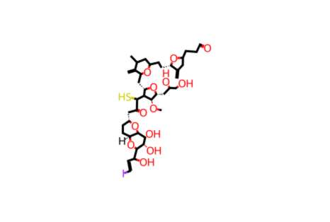 C=C1C(C)CC(CC[C@@H]2OC(CCC=O)CC2=C)OC1C[C@@H]1O[C@H](CC(O)CO)[C@H](OC)C1C(S)C(=O)C[C@H]1CC[C@@H]2OC(C(O)/C=C/I)[C@@H](O)[C@@H](O)C2O1